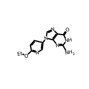 CCOc1ccc(-n2cnc3c(=O)[nH]c(N)nc32)cn1